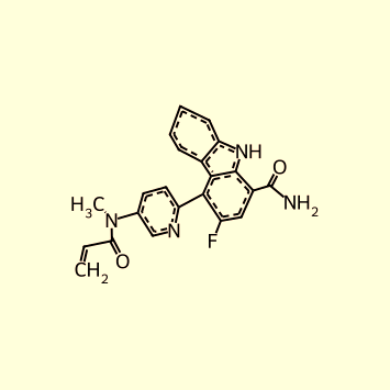 C=CC(=O)N(C)c1ccc(-c2c(F)cc(C(N)=O)c3[nH]c4ccccc4c23)nc1